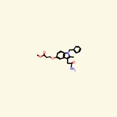 COC(=O)CCOc1ccc2c(c1)c(CC(N)=O)c(C)n2Cc1ccccc1